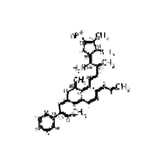 C=C\C=C/C=C\C=C\C(=C/C(=C\C)c1ccccc1)CC(=C)/C=C\C=CC(=C)/C(N)=C1/CC(CCC)=C(C)C1C